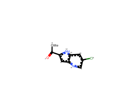 COC(=O)c1cc2ncc(Cl)cc2[nH]1